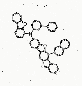 c1ccc(-c2cccc(N(c3ccc4c(c3)oc3c(-c5ccc6ccccc6c5)c5c(cc34)oc3ccccc35)c3cccc4c3oc3ccccc34)c2)cc1